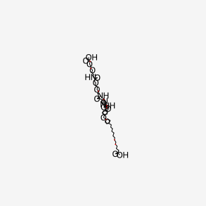 O=C(O)CCCCCCCCCCCCCc1ccc(Oc2ccc(S(=O)(=O)Nc3ncc(C(=O)NCCOCCOCC(=O)NCCOCCOCC(=O)O)cn3)cc2)cc1